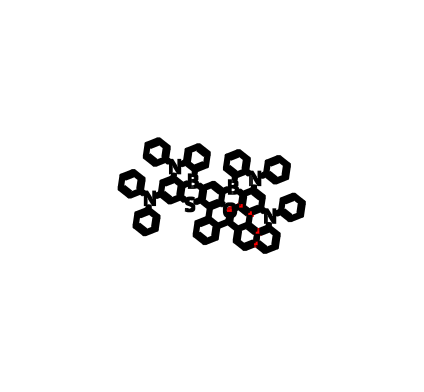 c1ccc(N(c2ccccc2)c2cc3c4c(c2)N(c2ccccc2)c2ccccc2B4c2cc4c(c(-c5ccccc5-c5cccc6ccccc56)c2O3)Sc2cc(N(c3ccccc3)c3ccccc3)cc3c2B4c2ccccc2N3c2ccccc2)cc1